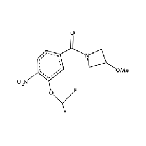 COC1CN(C(=O)c2ccc([N+](=O)[O-])c(OC(F)F)c2)C1